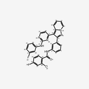 O=C(Nc1cccc(-c2nn3ccccc3c2-c2ccnc(Nc3cccc(F)c3)n2)c1)c1ccc(F)cc1Cl